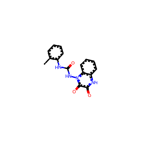 Cc1ccccc1NC(=O)Nn1c(=O)c(=O)[nH]c2ccccc21